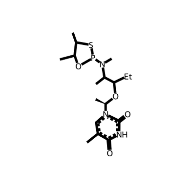 CCC(O[C@H](C)n1cc(C)c(=O)[nH]c1=O)C(C)N(C)P1OC(C)C(C)S1